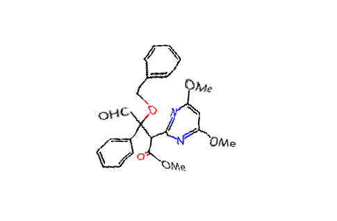 COC(=O)C(c1nc(OC)cc(OC)n1)C(C=O)(OCc1ccccc1)c1ccccc1